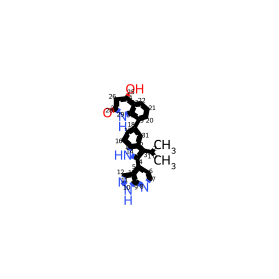 CC(C)c1c(-c2ccnc3[nH]ncc23)[nH]c2ccc(-c3cccc4c(O)cc(=O)[nH]c34)cc12